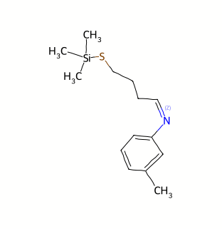 Cc1cccc(/N=C\CCCS[Si](C)(C)C)c1